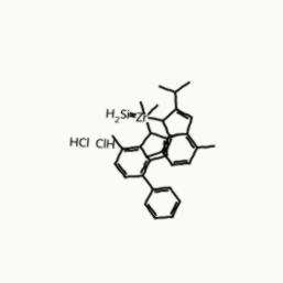 CC1=Cc2c(-c3ccccc3)ccc(C)c2[CH]1[Zr]([CH3])([CH3])(=[SiH2])[CH]1C(C(C)C)=Cc2c(C)ccc(C)c21.Cl.Cl